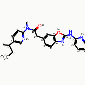 CC(CC(=O)O)c1ccc(N(C)C(=O)Cc2ccc3nc(Nc4ccccn4)oc3c2)nc1